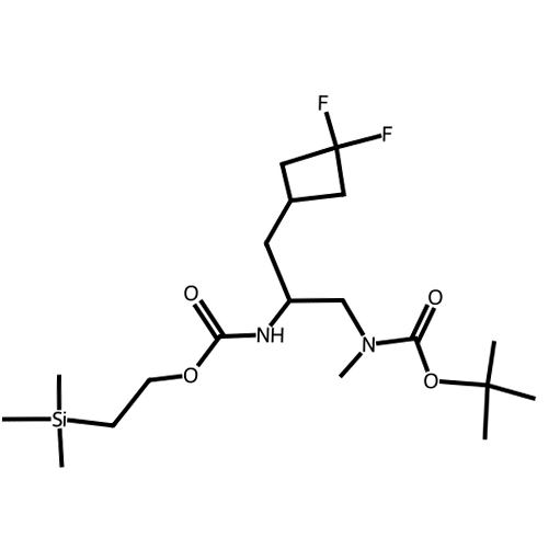 CN(CC(CC1CC(F)(F)C1)NC(=O)OCC[Si](C)(C)C)C(=O)OC(C)(C)C